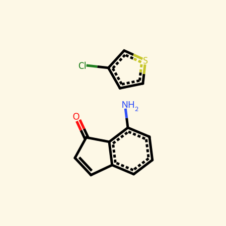 Clc1ccsc1.Nc1cccc2c1C(=O)C=C2